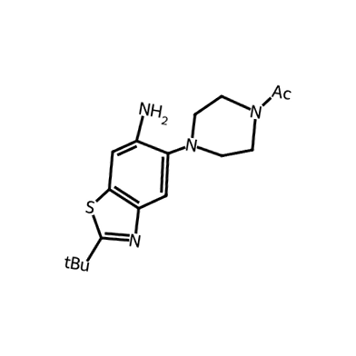 CC(=O)N1CCN(c2cc3nc(C(C)(C)C)sc3cc2N)CC1